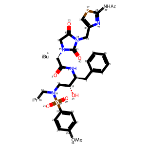 CC[C@H](C)[C@@H](C(=O)N[C@@H](Cc1ccccc1)[C@H](O)CN(CC(C)C)S(=O)(=O)c1ccc(OC)cc1)N1CC(=O)N(Cc2csc(NC(C)=O)n2)C1=O